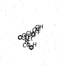 CCN([C@@H](Cc1ccccc1)C(=O)N(C)Cc1ccccc1)N(CCc1ccccc1)CC(=O)O.O=C(O)C(F)(F)F